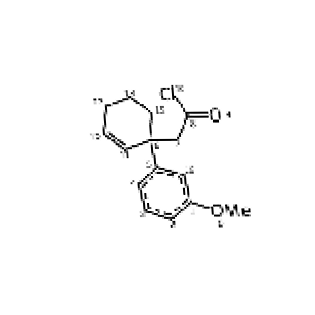 COc1cccc(C2(CC(=O)Cl)C=CCCC2)c1